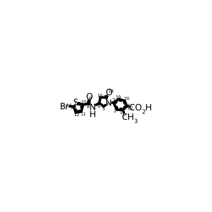 Cc1cc(N2CC(NC(=O)c3ccc(Br)s3)CC2=O)ccc1C(=O)O